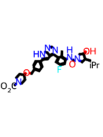 Cc1c(NC(=O)N2CC(O)C(CC(C)C)C2)cc(F)cc1-c1ncnc2[nH]c(-c3ccc(COC4CCN(C(=O)O)CC4)cc3)cc12